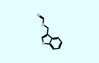 O=COCc1coc2ccccc12